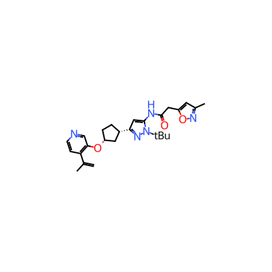 C=C(C)c1ccncc1O[C@@H]1CC[C@H](c2cc(NC(=O)Cc3cc(C)no3)n(C(C)(C)C)n2)C1